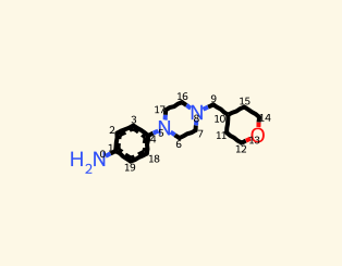 Nc1ccc(N2CCN(CC3CCOCC3)CC2)cc1